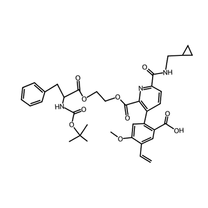 C=Cc1cc(C(=O)O)c(-c2ccc(C(=O)NCC3CC3)nc2C(=O)OCCOC(=O)C(Cc2ccccc2)NC(=O)OC(C)(C)C)cc1OC